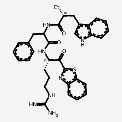 CC[C@H](Cc1c[nH]c2ccccc12)C(=O)NC(Cc1ccccc1)C(=O)N[C@@H](CCCNC(=N)N)C(=O)c1nc2ccccc2s1